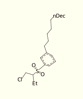 CCCCCCCCCCCCCCCc1cccc(S(=O)(=O)C(CC)CCl)c1